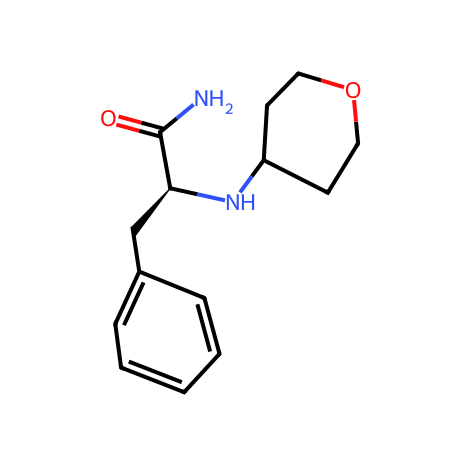 NC(=O)[C@H](Cc1ccccc1)NC1CCOCC1